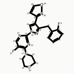 Fc1ccccc1Cc1nn(-c2ncc(F)c(N3CCOCC3)n2)cc1-c1ccon1